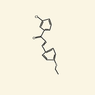 CCSc1ccc(C=CC(=O)c2cccc(Cl)c2)cc1